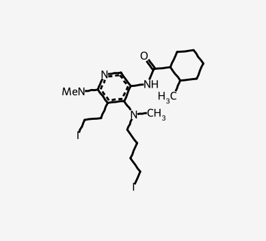 CNc1ncc(NC(=O)C2CCCCC2C)c(N(C)CCCCI)c1CCI